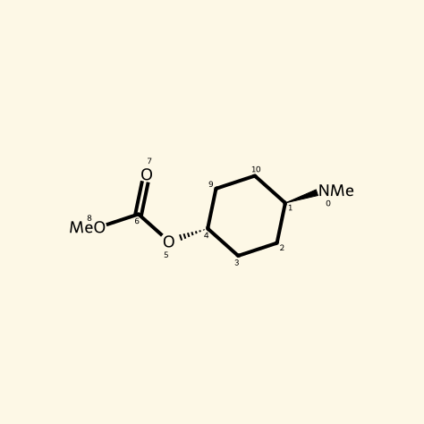 CN[C@H]1CC[C@H](OC(=O)OC)CC1